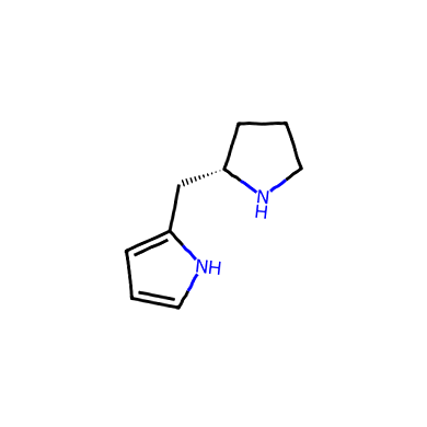 c1c[nH]c(C[C@@H]2CCCN2)c1